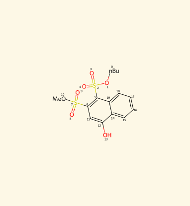 CCCCOS(=O)(=O)c1c(S(=O)(=O)OC)cc(O)c2ccccc12